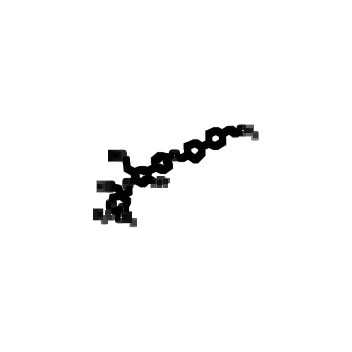 C/C=C/C1CCC(C2CCC(COc3ccc(-c4cc(CCO)c(OCC5(CO)COC(C)(C)OC5)cc4CCC)cc3)CC2)CC1